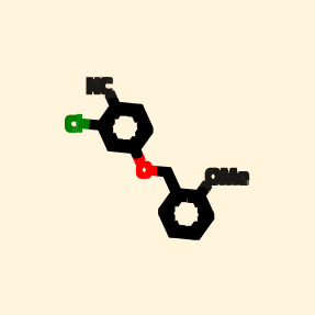 COc1ccccc1COc1ccc(C#N)c(Cl)c1